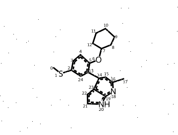 CSc1ccc(OC2CCCCC2)c(-c2cc(C)nc3[nH]ccc23)c1